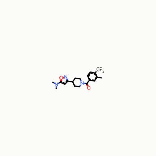 Cc1cc(C(=O)N2CCC(c3cc(N(C)C)on3)CC2)ccc1C(F)(F)F